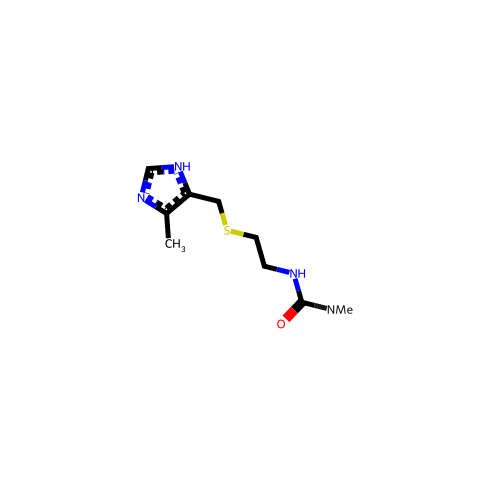 CNC(=O)NCCSCc1[nH]cnc1C